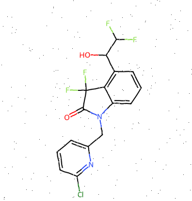 O=C1N(Cc2cccc(Cl)n2)c2cccc(C(O)C(F)F)c2C1(F)F